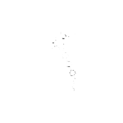 C=C(CO)C(=O)OCCC(COC(=O)C(=C)CO)C1CCC(C2CC=C(c3ccc(CCCCC(C)C)cc3)CC2)CC1